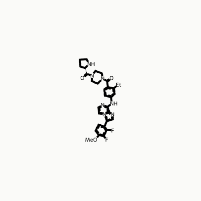 CCc1cc(Nc2nccn3c(-c4ccc(OC)c(F)c4F)cnc23)ccc1C(=O)N1CCN(C(=O)[C@@H]2CCCN2)CC1